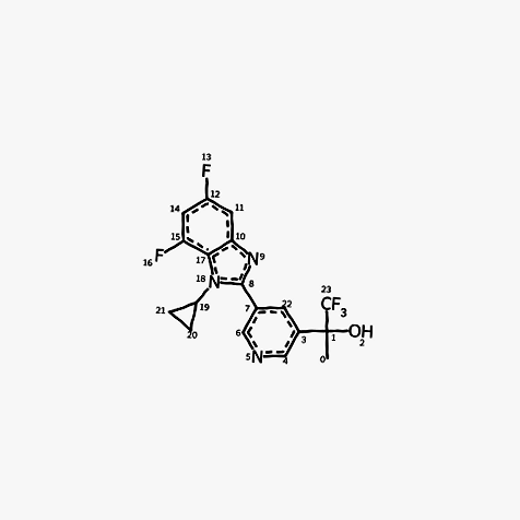 CC(O)(c1cncc(-c2nc3cc(F)cc(F)c3n2C2CC2)c1)C(F)(F)F